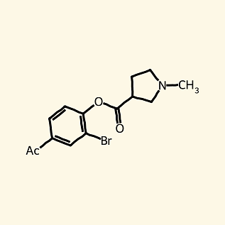 CC(=O)c1ccc(OC(=O)C2CCN(C)C2)c(Br)c1